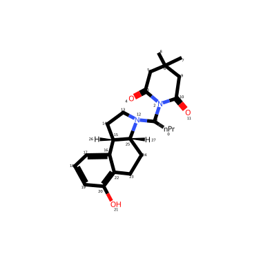 CCCC(N1C(=O)CC(C)(C)CC1=O)N1CC[C@H]2c3cccc(O)c3CC[C@H]21